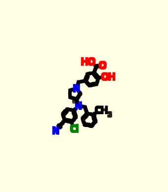 Cc1ccccc1CN(c1ccc(C#N)c(Cl)c1)[C@H]1CCN(Cc2ccc(O)c(C(=O)O)c2)C1